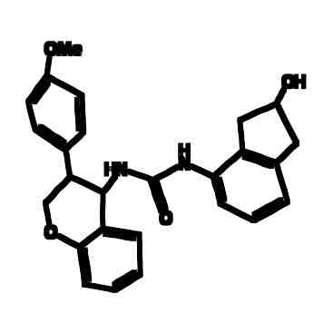 COc1ccc(C2COc3ccccc3C2NC(=O)Nc2cccc3c2CC(O)C3)cc1